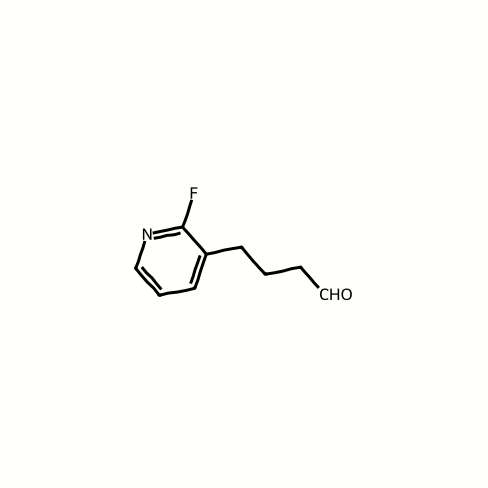 O=CCCCc1cccnc1F